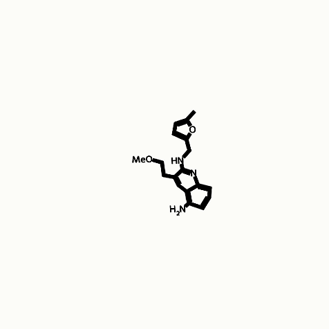 COCCc1cc2c(N)cccc2nc1NCc1ccc(C)o1